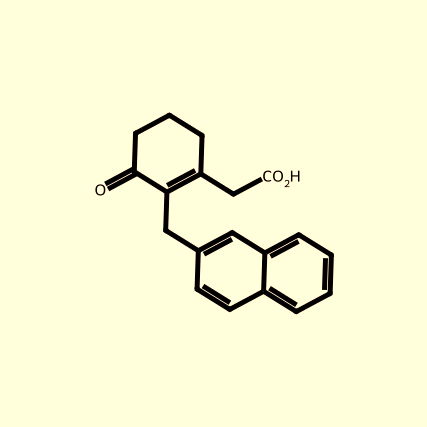 O=C(O)CC1=C(Cc2ccc3ccccc3c2)C(=O)CCC1